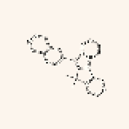 CC1(C)c2ccccc2-c2c1n(-c1ccc3cnccc3c1)c1ccccc21